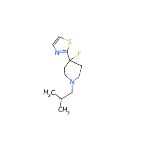 C[C](C)CN1CCC(F)(c2nccs2)CC1